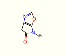 CC(C)N1C(=O)Cc2ncoc21